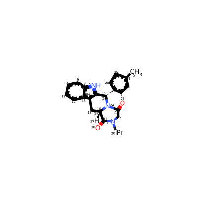 Cc1ccc([C@H]2c3[nH]c4ccccc4c3C[C@H]3C(=O)N(C(C)C)CC(=O)N23)cc1